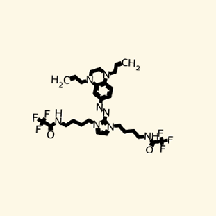 C=CCN1CCN(CC=C)c2cc(/N=N/c3n(CCCCNC(=O)C(F)(F)F)cc[n+]3CCCCNC(=O)C(F)(F)F)ccc21